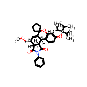 COC[C@@H]1C=C2[C@H](c3ccc(O[Si](C(C)C)(C(C)C)C(C)C)cc3OC23CCCC3)[C@@H]2C(=O)N(c3ccccc3)C(=O)[C@@H]21